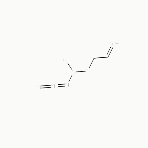 C=CCSN(S)N=[N+]=[N-]